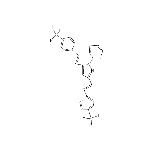 FC(F)(F)c1ccc(/C=C/c2cc(/C=C/c3ccc(C(F)(F)F)cc3)n(-c3ccccc3)n2)cc1